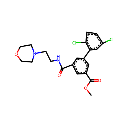 COC(=O)c1cc(C(=O)NCCN2CCOCC2)cc(-c2cc(Cl)ccc2Cl)c1